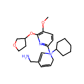 COc1ccc([N+]2(C3CCCCC3)C=C(CN)C=CC2)nc1OC1CCOC1